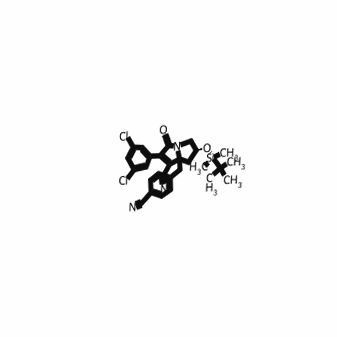 CC(C)(C)[Si](C)(C)O[C@H]1CN2C(=O)C(c3cc(Cl)cc(Cl)c3)=C(C#N)C2(Cc2ccc(C#N)cc2)C1